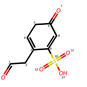 O=[C]CC1=CCC(=O)C=C1S(=O)(=O)O